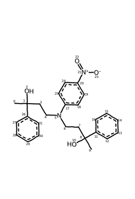 CC(O)(CCN(CCC(C)(O)c1ccccc1)c1ccc([N+](=O)[O-])cc1)c1ccccc1